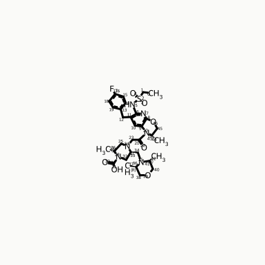 CCS(=O)(=O)Nc1nc2c(cc1Cc1ccc(F)cc1)N(C(=O)CN1C[C@@H](C)N(C(=O)O)C[C@@H]1CN1[C@H](C)COC[C@H]1C)[C@@H](C)CO2